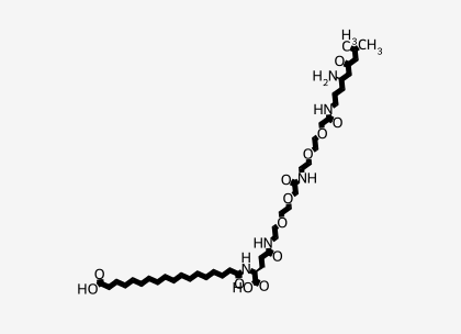 CC(C)CC(=O)C[C@@H](N)CCCNC(=O)COCCOCCNC(=O)COCCOCCNC(=O)CC[C@H](NC(=O)CCCCCCCCCCCCCCCCC(=O)O)C(=O)O